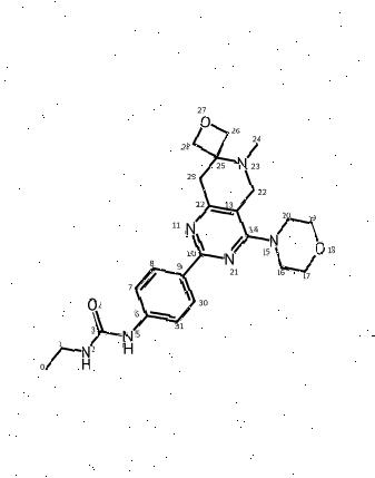 CCNC(=O)Nc1ccc(-c2nc3c(c(N4CCOCC4)n2)CN(C)C2(COC2)C3)cc1